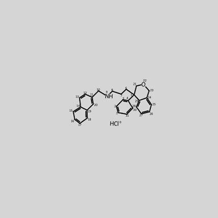 Cl.c1ccc(C2(CCCNCc3ccc4ccccc4c3)COCc3ccccc32)cc1